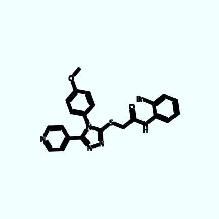 COc1ccc(-n2c(SCC(=O)Nc3ccccc3Br)nnc2-c2ccncc2)cc1